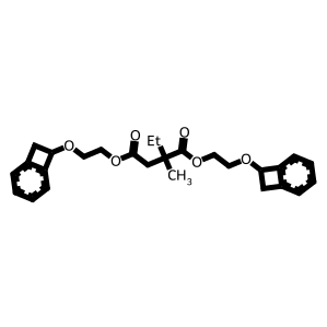 CCC(C)(CC(=O)OCCOC1Cc2ccccc21)C(=O)OCCOC1Cc2ccccc21